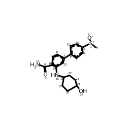 C[S+]([O-])c1ccc(-c2ccc(C(N)=O)c(NC3CCC(O)CC3)c2)cc1